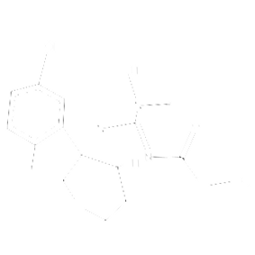 CN(C)C(=NC(=O)OC(C)(C)C)N[C@@]1(c2cc(O)ccc2F)COCCC1C=O